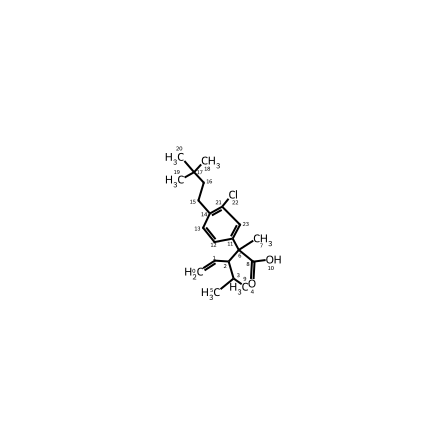 C=CC(C(C)C)C(C)(C(=O)O)c1ccc(CCC(C)(C)C)c(Cl)c1